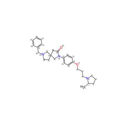 CC1CCCN1CCCOc1ccc(N2CC3(CCN(Cc4ccccc4)C3)CC2=O)cc1